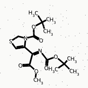 COC(=O)C(=NC(=O)OC(C)(C)C)C1=CSCN1C(=O)OC(C)(C)C